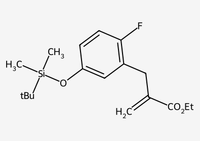 C=C(Cc1cc(O[Si](C)(C)C(C)(C)C)ccc1F)C(=O)OCC